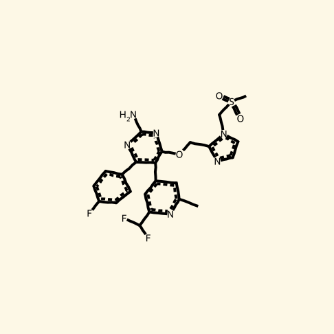 Cc1cc(-c2c(OCc3nccn3CS(C)(=O)=O)nc(N)nc2-c2ccc(F)cc2)cc(C(F)F)n1